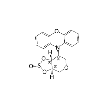 O=S1O[C@H]2[C@H](COC[C@@H]2N2c3ccccc3Oc3ccccc32)O1